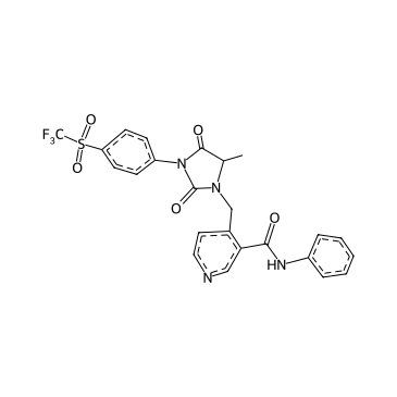 CC1C(=O)N(c2ccc(S(=O)(=O)C(F)(F)F)cc2)C(=O)N1Cc1ccncc1C(=O)Nc1ccccc1